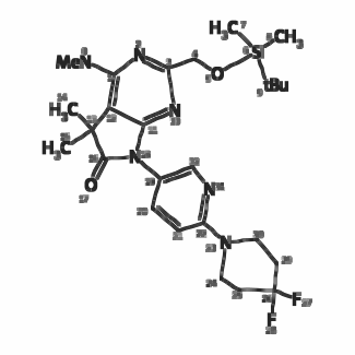 CNc1nc(CO[Si](C)(C)C(C)(C)C)nc2c1C(C)(C)C(=O)N2c1ccc(N2CCC(F)(F)CC2)nc1